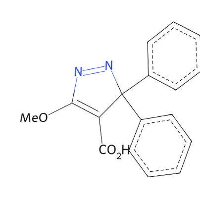 COC1=C(C(=O)O)C(c2ccccc2)(c2ccccc2)N=N1